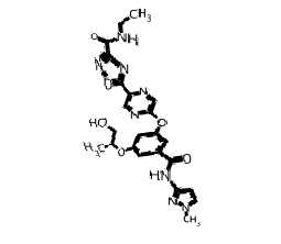 CCNC(=O)c1noc(-c2cnc(Oc3cc(O[C@@H](C)CO)cc(C(=O)Nc4ccn(C)n4)c3)cn2)n1